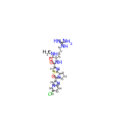 CNC(=O)C(CCCCNC(=N)N)NC(=O)c1csc([C@@H]2CCCN2C(=O)c2cn3cc(Cl)ccc3n2)n1